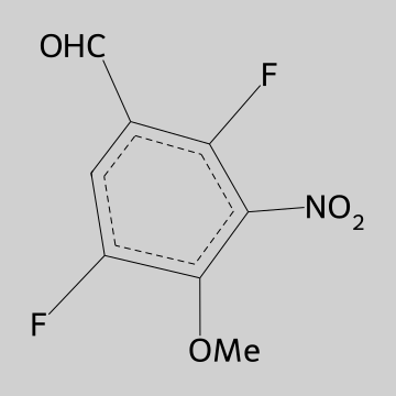 COc1c(F)cc(C=O)c(F)c1[N+](=O)[O-]